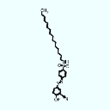 CCCCCCCCCCCCCCCCNS(=O)(=O)c1ccc(N=Nc2ccc(O)c(C#N)c2)cc1